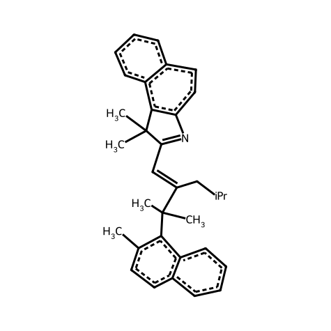 Cc1ccc2ccccc2c1C(C)(C)/C(=C/C1=Nc2ccc3ccccc3c2C1(C)C)CC(C)C